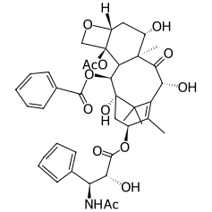 CC(=O)N[C@@H](c1ccccc1)[C@@H](O)C(=O)O[C@H]1C[C@@]2(O)[C@@H](OC(=O)c3ccccc3)C3[C@](C)(C(=O)[C@H](O)C(=C1C)C2(C)C)[C@@H](O)C[C@H]1OC[C@@]31OC(C)=O